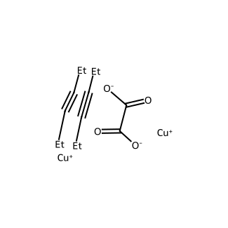 CCC#CCC.CCC#CCC.O=C([O-])C(=O)[O-].[Cu+].[Cu+]